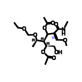 CCOCO[C@H](C)[C@@H](C(OC(C)=O)/C(=C/OC)C(=O)NC)[C@H](CO)OC(C)=O